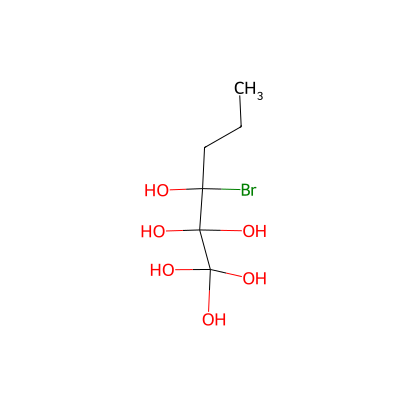 CCCC(O)(Br)C(O)(O)C(O)(O)O